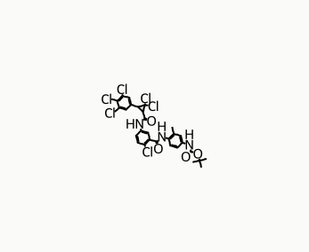 Cc1cc(NC(=O)OC(C)(C)C)ccc1NC(=O)c1cc(NC(=O)C2C(c3cc(Cl)c(Cl)c(Cl)c3)C2(Cl)Cl)ccc1Cl